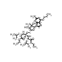 CCCOc1nc(N)nc2c1ncn2C1O[C@H](COP(=O)(N[C@@H](CC(C)C)C(=O)OCC)N[C@@H](CC(C)C)C(=O)OCC)[C@H](O)C1(C)O